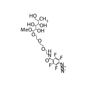 CO[C@H](OCCOCCOCCNC(=O)c1c(F)c(F)c(N=[N+]=[N-])c(F)c1F)C(O)C(O)[C@H](O)C(C)CO